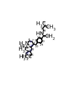 C=CC(=C/C(C)=C(/C=C\N)Cc1ccc(C(=C)NCCC(C)C)cc1)/C(C)=C\C